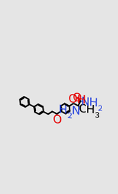 CC(N)(C(N)=O)C(O)c1ccc(C(=O)CCc2ccc(-c3ccccc3)cc2)cc1